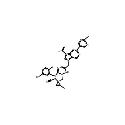 CC(=O)c1nn(CC(=O)N[C@H](C[C@]2(CC#N)C=C2C)C(=O)Nc2nc(Br)ccc2C)c2cnc(-c3cnc(C)nc3)cc12